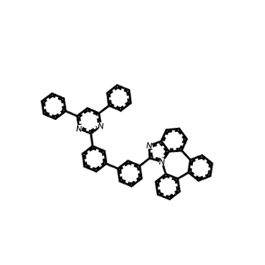 c1ccc(-c2cc(-c3ccccc3)nc(-c3cccc(-c4cccc(-c5nc6cccc7c6n5-c5ccccc5-c5ccccc5-7)c4)c3)n2)cc1